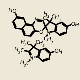 CC1=[N+](C)c2ccc(O)cc2C1(C)C.CN1c2ccc(O)cc2C(C)(C)C12C=Nc1c(ccc3ccc(O)cc13)O2